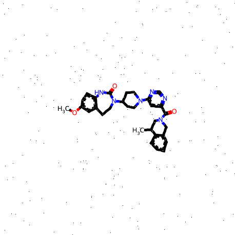 COc1ccc2c(c1)CCN(C1CCN(c3cc(C(=O)N4Cc5ccccc5C(C)C4)ncn3)CC1)C(=O)N2